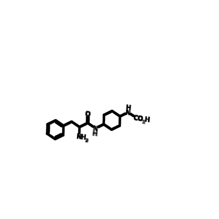 NC(Cc1ccccc1)C(=O)NC1CCC(NC(=O)O)CC1